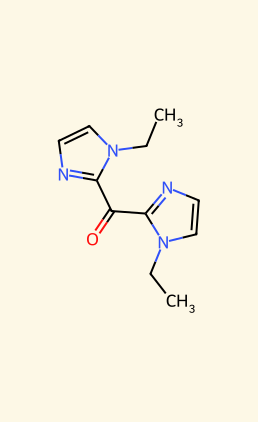 CCn1ccnc1C(=O)c1nccn1CC